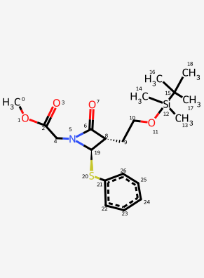 COC(=O)CN1C(=O)[C@H](CCO[Si](C)(C)C(C)(C)C)[C@H]1Sc1ccccc1